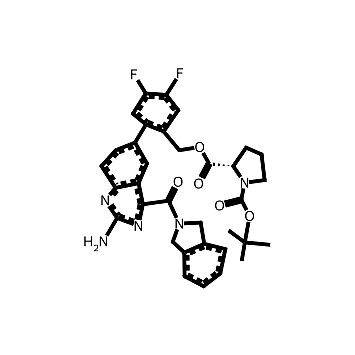 CC(C)(C)OC(=O)N1CCC[C@H]1C(=O)OCc1cc(F)c(F)cc1-c1ccc2nc(N)nc(C(=O)N3Cc4ccccc4C3)c2c1